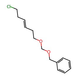 ClCCC=CCCOCOCc1ccccc1